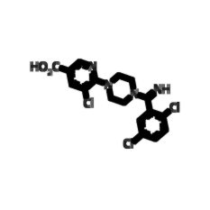 N=C(c1cc(Cl)ccc1Cl)N1CCN(c2ncc(C(=O)O)cc2Cl)CC1